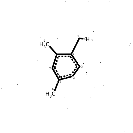 [2H]Cc1ccc(C)cc1C